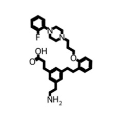 NCCc1cc(CCC(=O)O)cc(CCc2ccccc2OCCCN2CCN(c3ccccc3F)CC2)c1